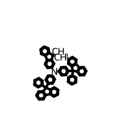 CC1(C)c2ccccc2-c2ccc(N(c3ccc(C4(c5ccccc5)c5ccccc5-c5ccccc54)cc3)c3ccc(C4(c5ccccc5)c5ccccc5-c5ccccc54)cc3)cc21